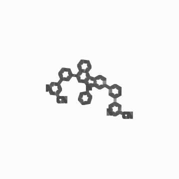 N#Cc1cncc(-c2cccc(-c3ccc4c5c6ccccc6c(-c6cccc(-c7cncc(C#N)c7)c6)cc5n(-c5ccccc5)c4c3)c2)c1